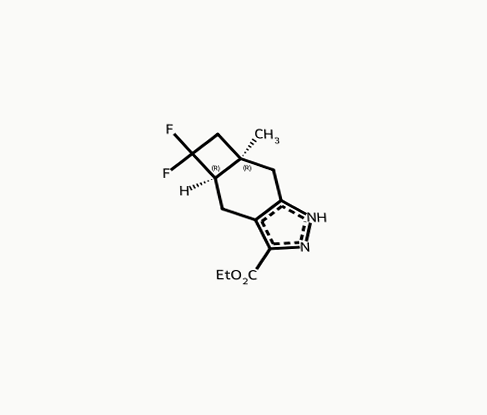 CCOC(=O)c1n[nH]c2c1C[C@H]1C(F)(F)C[C@@]1(C)C2